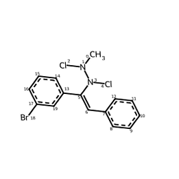 CN(Cl)N(Cl)C(=Cc1ccccc1)c1cccc(Br)c1